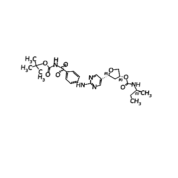 CC[C@H](C)NC(=O)O[C@H]1CO[C@@H](c2cnc(Nc3ccc(S(=O)(=O)NC(=O)OC(C)(C)C)cc3)nc2)C1